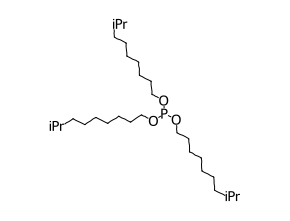 CC(C)CCCCCCCOP(OCCCCCCCC(C)C)OCCCCCCCC(C)C